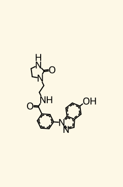 O=C(NCCN1CCNC1=O)c1cccc(-n2ncc3cc(O)ccc32)c1